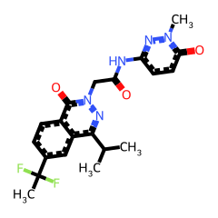 CC(C)c1nn(CC(=O)Nc2ccc(=O)n(C)n2)c(=O)c2ccc(C(C)(F)F)cc12